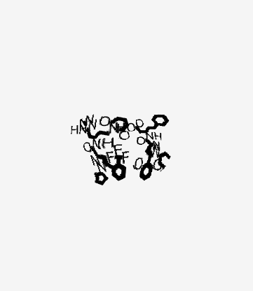 CCC(CC)n1nc(C(=O)NC(CCC2CCCCC2)CC(=O)O)cc1-c1c(OC)cccc1OC.O=C(NC(CCN1C(=O)CCCC1=O)Cc1nnn[nH]1)c1cc(-c2ccccc2C(F)(F)F)n(C2CCCC2)n1